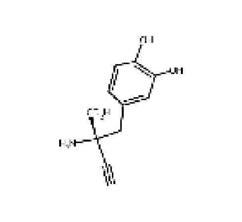 C#C[C@](N)(Cc1ccc(O)c(O)c1)C(=O)O